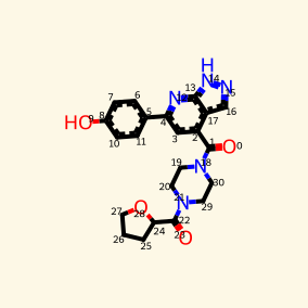 O=C(c1cc(-c2ccc(O)cc2)nc2[nH]ncc12)N1CCN(C(=O)C2CCCO2)CC1